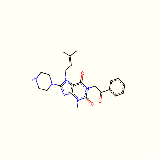 CC(C)=CCn1c(N2CCNCC2)nc2c1c(=O)n(CC(=O)c1ccccc1)c(=O)n2C